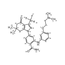 CN(C)CCOc1cc(Nc2cc(-n3nc(C(F)(F)F)c4c3CC(C)(C)CC4=O)ccc2C(N)=O)ccn1